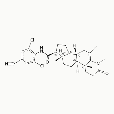 CC1=C2N(C)C(=O)CC[C@]2(C)[C@H]2CC[C@]3(C)[C@@H](C(=O)Nc4c(Cl)cc(C#N)cc4Cl)CC[C@H]3[C@@H]2C1